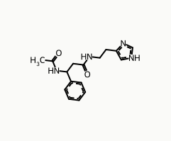 CC(=O)NC(CC(=O)NCCc1c[nH]cn1)c1ccccc1